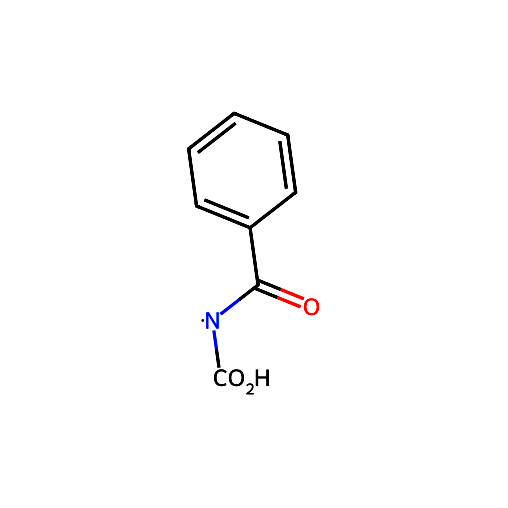 O=C(O)[N]C(=O)c1ccccc1